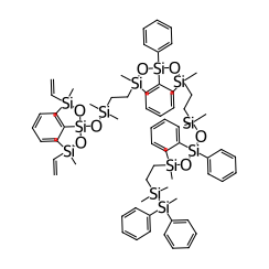 C=C[Si](C)(C)O[Si](O[Si](C)(C)C=C)(O[Si](C)(C)CC[Si](C)(C)O[Si](O[Si](C)(C)CC[Si](C)(C)O[Si](O[Si](C)(C)CC[Si](C)(C)[Si](C)(c1ccccc1)c1ccccc1)(c1ccccc1)c1ccccc1)(c1ccccc1)c1ccccc1)c1ccccc1